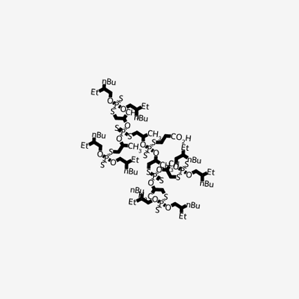 CCCCC(CC)COP(=S)(OCC(CC)CCCC)SCC(C)OP(=S)(OC(C)CSP(=S)(OCC(CC)CCCC)OCC(CC)CCCC)SCC(C)OP(=S)(OC(C)CSP(=S)(OC(C)CSP(=S)(OCC(CC)CCCC)OCC(CC)CCCC)OC(C)CSP(=S)(OCC(CC)CCCC)OCC(CC)CCCC)SCCC(=O)O